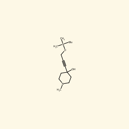 CN1CCC(O)(C#CCO[Si](C)(C)C(C)(C)C)CC1